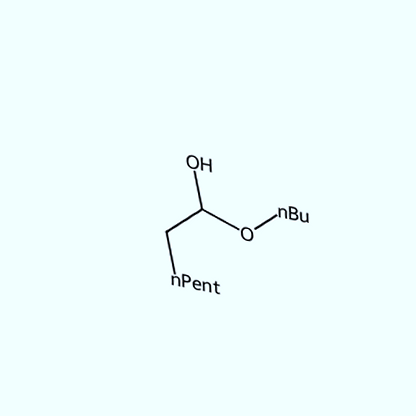 CCCCCCC(O)OCCCC